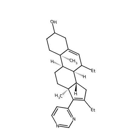 CCC1=C(c2ccncn2)[C@@]2(C)CC[C@@H]3[C@@H](C(CC)C=C4CC(O)CC[C@@]43C)[C@@H]2C1